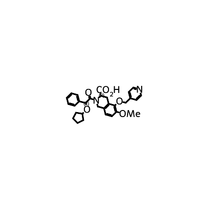 COc1ccc2c(c1OCc1ccncc1)C[C@H](C(=O)O)N(C(=O)[C@H](OC1CCCC1)c1ccccc1)C2